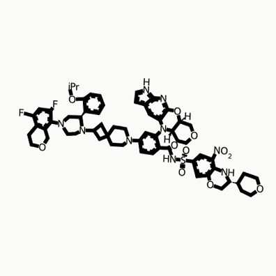 CC(C)Oc1ccccc1[C@@H]1CN(c2c(F)cc(F)c3c2COCC3)CCN1C1CC2(CCN(c3ccc(C(=O)NS(=O)(=O)c4cc5c(c([N+](=O)[O-])c4)N[C@H](C4CCOCC4)CO5)c(N4c5cc6cc[nH]c6nc5O[C@H]5COCC[C@@H]54)c3)CC2)C1